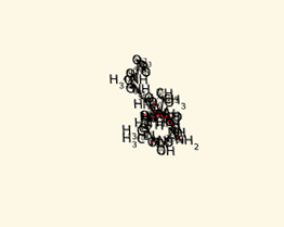 CCC(C)[C@@H]1NC(=O)[C@@H]2C[C@@H](O)CN2C(=O)[C@H](CC(N)=O)NC(=O)[C@@H]2CSc3[nH]c4ccc(NC(=O)CCCNC(=O)C(C)NC(=O)CCN5C(=O)C=CC5=O)cc4c3C[C@H](NC1=O)C(=O)NCC(=O)N[C@@H]([C@@H](C)CC)C(=O)NCC(=O)N2